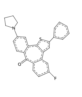 O=c1c2ccc(F)cc2c2cc(-c3ccccc3)sc2c2cc(N3CCCC3)ccc12